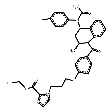 CCOC(=O)c1nccn1CCCOc1ccc(C(=O)N2c3ccccc3[C@H](N(C(C)=O)c3ccc(Cl)cc3)C[C@@H]2C)cc1